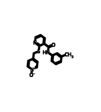 Cc1cccc(NC(=O)c2cccnc2SCc2cc[n+]([O-])cc2)c1